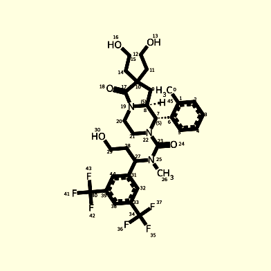 Cc1ccccc1[C@H]1[C@@H]2CC(CCO)(CCO)C(=O)N2CCN1C(=O)N(C)C(CCO)c1cc(C(F)(F)F)cc(C(F)(F)F)c1